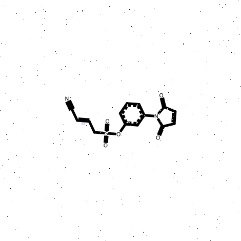 N#C/C=C/CS(=O)(=O)Oc1cccc(N2C(=O)C=CC2=O)c1